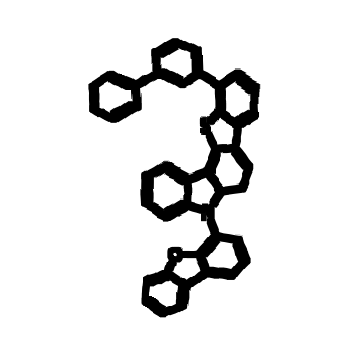 C1=c2c(sc3c(-c4cccc(-c5ccccc5)c4)cccc23)=C2c3ccccc3N(c3cccc4c3oc3ccccc34)C2C1